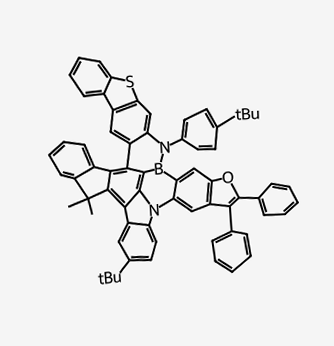 CC(C)(C)c1ccc(N2B3c4cc5oc(-c6ccccc6)c(-c6ccccc6)c5cc4-n4c5ccc(C(C)(C)C)cc5c5c6c(c(c3c54)-c3cc4c(cc32)sc2ccccc24)-c2ccccc2C6(C)C)cc1